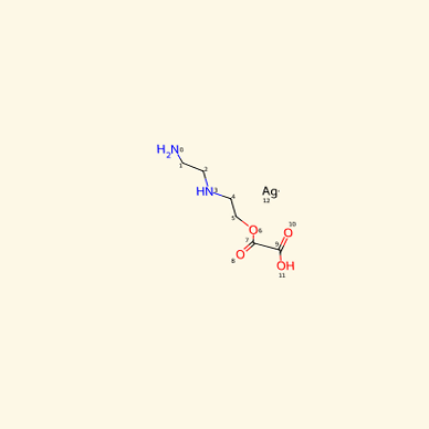 NCCNCCOC(=O)C(=O)O.[Ag]